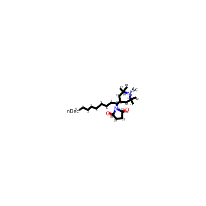 CCCCCCCCCCCCCCCCCC(C1CC(C)(C)N(C(C)=O)C(C)(C)C1)N1C(=O)CCC1=O